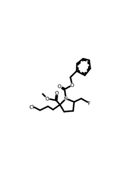 COC(=O)C1(CCCCl)CCC(CF)N1C(=O)OCc1ccccc1